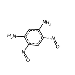 Nc1cc(N)c(N=O)cc1N=O